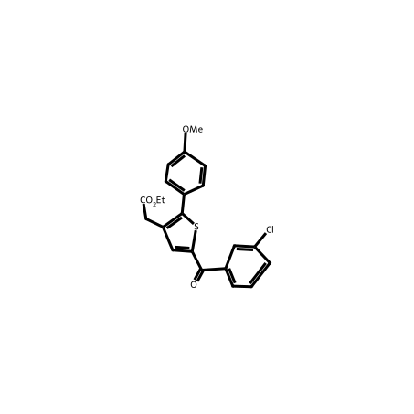 CCOC(=O)Cc1cc(C(=O)c2cccc(Cl)c2)sc1-c1ccc(OC)cc1